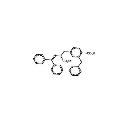 CCOC(=O)C(Cc1ccc(C(=O)O)c(Cc2ccccc2)c1)N=C(c1ccccc1)c1ccccc1